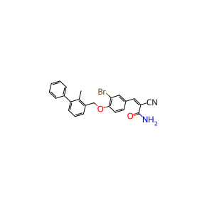 Cc1c(COc2ccc(C=C(C#N)C(N)=O)cc2Br)cccc1-c1ccccc1